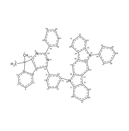 CC1(C)c2ccccc2-c2c(-c3cccc(-n4c5ccccc5c5cc6c(cc54)c4ccccc4n6-c4ccccc4)c3)nc(-c3ccccc3)nc21